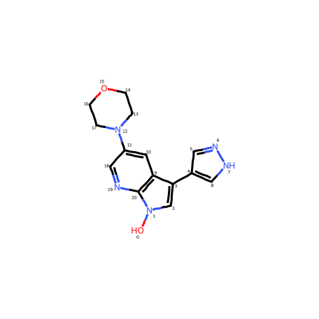 On1cc(-c2cn[nH]c2)c2cc(N3CCOCC3)cnc21